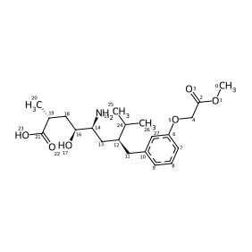 COC(=O)COc1cccc(C[C@@H](C[C@H](N)[C@@H](O)C[C@@H](C)C(=O)O)C(C)C)c1